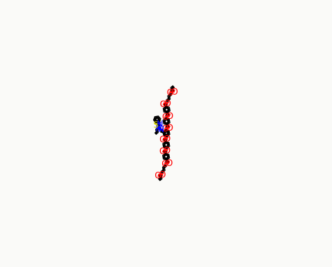 C=CC(=O)OCCCCOC(=O)C1CCC(C(=O)OC2CCC(C(=O)Oc3ccc(OC(=O)C4CCC(OC(=O)C5CCC(C(=O)OCCCCOC(=O)C=C)CC5)CC4)c(/C=N/N(CCC)c4nc5ccccc5s4)c3)CC2)CC1